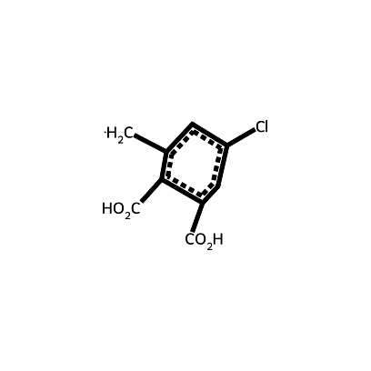 [CH2]c1cc(Cl)cc(C(=O)O)c1C(=O)O